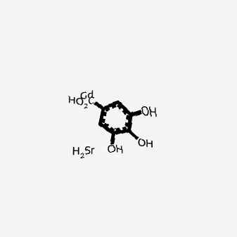 O=C(O)c1cc(O)c(O)c(O)c1.[Gd].[SrH2]